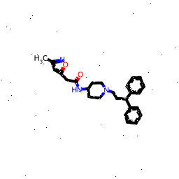 Cc1cc(CC(=O)NC2CCN(CCC(c3ccccc3)c3ccccc3)CC2)on1